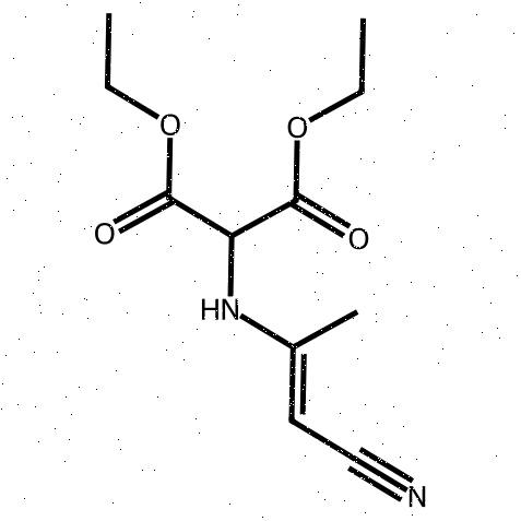 CCOC(=O)C(N/C(C)=C/C#N)C(=O)OCC